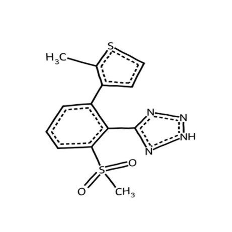 Cc1sccc1-c1cccc(S(C)(=O)=O)c1-c1nn[nH]n1